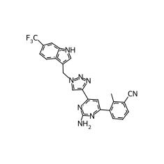 Cc1c(C#N)cccc1-c1cc(-c2cn(Cc3c[nH]c4cc(C(F)(F)F)ccc34)nn2)nc(N)n1